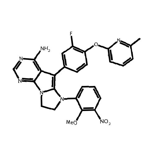 COc1c(N2CCn3c2c(-c2ccc(Oc4cccc(C)n4)c(F)c2)c2c(N)ncnc23)cccc1[N+](=O)[O-]